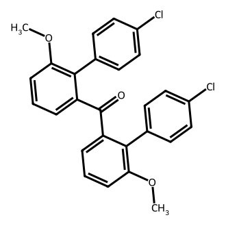 COc1cccc(C(=O)c2cccc(OC)c2-c2ccc(Cl)cc2)c1-c1ccc(Cl)cc1